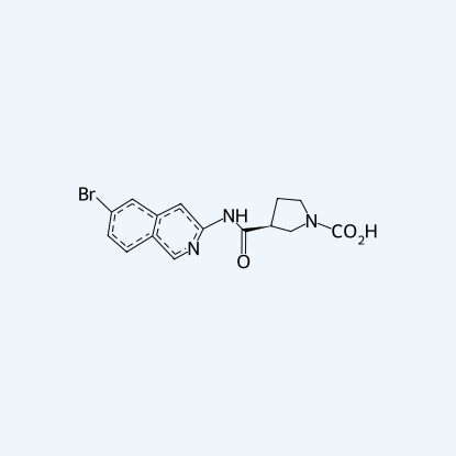 O=C(Nc1cc2cc(Br)ccc2cn1)[C@H]1CCN(C(=O)O)C1